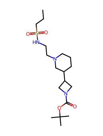 CCCS(=O)(=O)NCCN1CCCC(C2CN(C(=O)OC(C)(C)C)C2)C1